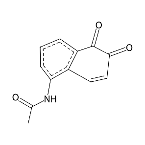 CC(=O)Nc1cccc2c1C=CC(=O)C2=O